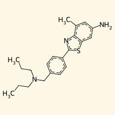 CCCN(CCC)Cc1ccc(-c2nc3c(C)cc(N)cc3s2)cc1